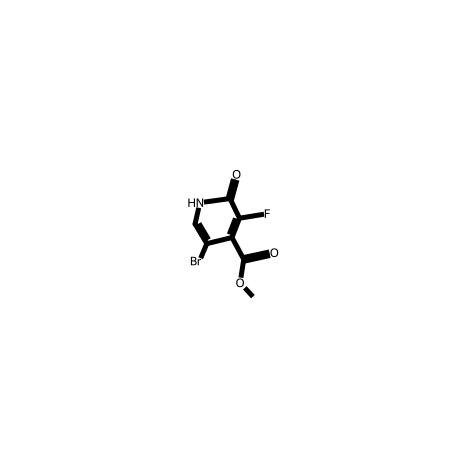 COC(=O)c1c(Br)c[nH]c(=O)c1F